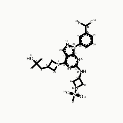 CC(C)(O)CC1CN(c2nc(NC3CN(S(C)(=O)=O)C3)nc3c2cnn3-c2cccc(C(F)F)c2)C1